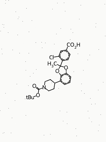 CC(C)(C)OC(=O)N1CCC(c2cccc3c2OC(C)(c2ccc(C(=O)O)cc2Cl)O3)CC1